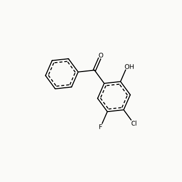 O=C(c1ccccc1)c1cc(F)c(Cl)cc1O